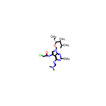 CSc1nc(/N=C/N(C)C)c2c(NC(=O)CCl)cn(CO[C@H](COC(C)=O)[C@@H](OC(C)=O)[C@H](C)OC(C)=O)c2n1